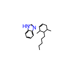 CCCCCC1C(C)C=CCC1C.c1ccc2[nH]cnc2c1